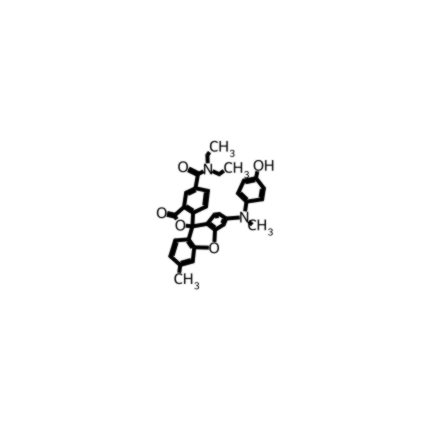 CCN(CC)C(=O)c1ccc2c(c1)C(=O)OC21c2ccc(C)cc2Oc2cc(N(C)c3ccc(O)cc3)ccc21